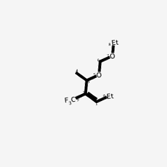 CC/C=C(\C(C)OCOCC)C(F)(F)F